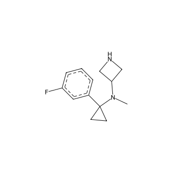 CN(C1CNC1)C1(c2cccc(F)c2)CC1